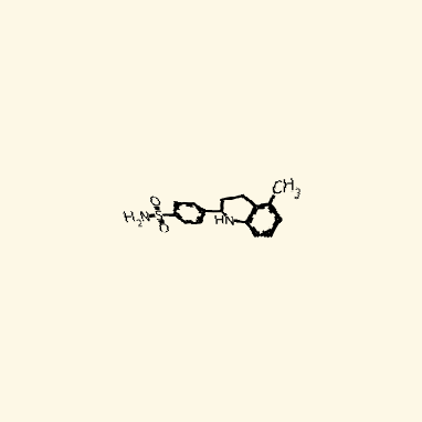 Cc1cccc2c1CCC(c1ccc(S(N)(=O)=O)cc1)N2